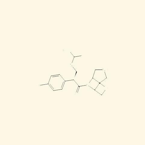 CC(C)NC[C@@H](C(=O)N1C2CNCC23OCC13)c1ccc(Cl)cc1